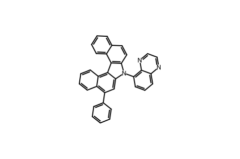 c1ccc(-c2cc3c(c4ccccc24)c2c4ccccc4ccc2n3-c2cccc3nccnc23)cc1